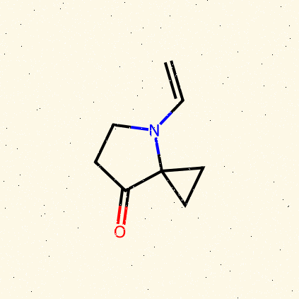 C=CN1CCC(=O)C12CC2